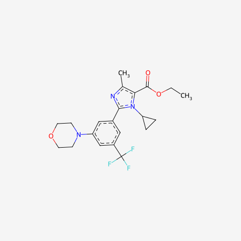 CCOC(=O)c1c(C)nc(-c2cc(N3CCOCC3)cc(C(F)(F)F)c2)n1C1CC1